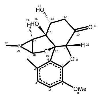 COc1ccc(C)c2c1O[C@H]1C(=O)C[C@@H](O)[C@@]3(O)[C@H]4C(C[C@]213)N4C